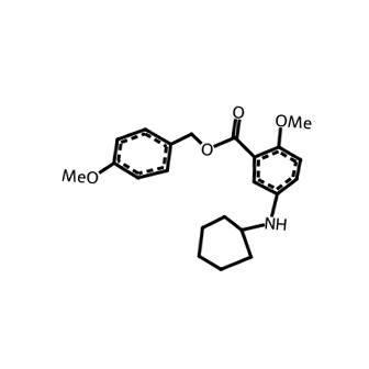 COc1ccc(COC(=O)c2cc(NC3CCCCC3)ccc2OC)cc1